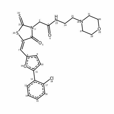 O=C(CN1C(=O)C(=Cc2ccc(-c3ccccc3Cl)o2)SC1=S)NCCN1CCOCC1